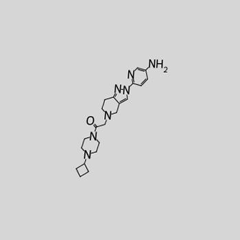 Nc1ccc(-n2cc3c(n2)CCN(CC(=O)N2CCN(C4CCC4)CC2)C3)nc1